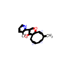 C=C1/C=C\C=C/Cc2c(occ(-c3ncccc3C(F)(F)F)c2=O)/C=C\1